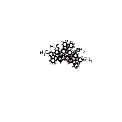 C=Cc1ccc(C2(c3ccc(C)cc3)c3ccccc3-c3ccc(N(c4cc(F)c(F)c(F)c4)c4ccc5c(c4)C4(c6ccccc6-5)c5ccccc5-c5ccc(N(c6cc(F)c(F)c(F)c6)c6ccc7c(c6)C(c6ccc(C)cc6)(c6ccc(C=C)cc6)c6ccccc6-7)cc54)cc32)cc1